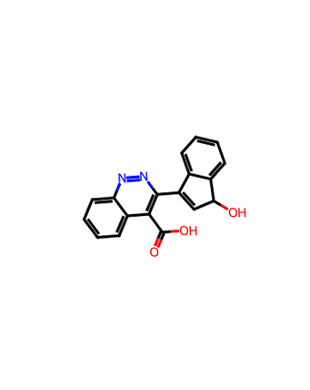 O=C(O)c1c(C2=CC(O)c3ccccc32)nnc2ccccc12